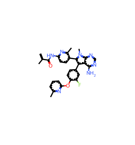 C=C(C)C(=O)Nc1ccc(-c2c(-c3ccc(Oc4cccc(C)n4)c(F)c3)c3c(N)ncnc3n2C)c(C)n1